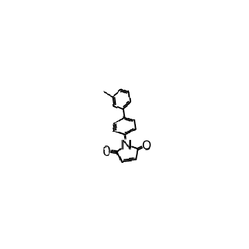 Cc1cccc(-c2ccc(N3C(=O)C=CC3=O)cc2)c1